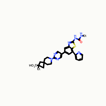 CCNC(=O)Nc1nc2cc(-c3cnc(N4CCC5(CC4)CC(CC)(C(=O)O)C5)nc3)cc(-c3ccccn3)c2s1